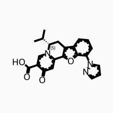 CC(C)[C@@H]1Cc2c(oc3c(-n4cccn4)cccc23)-c2cc(=O)c(C(=O)O)cn21